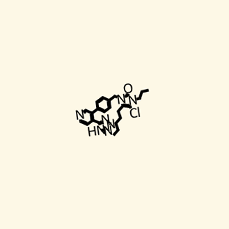 CCCCCc1c(Cl)n(CCC)c(=O)n1Cc1ccc(-c2cnccc2-c2nnn[nH]2)cc1